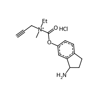 C#CC[N+](C)(CC)C(=O)Oc1ccc2c(c1)C(N)CC2.Cl